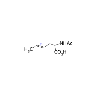 C/C=C/CC(NC(C)=O)C(=O)O